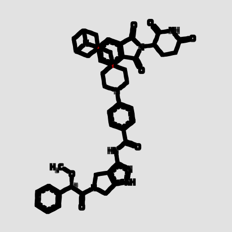 CO[C@@H](C(=O)N1Cc2[nH]nc(NC(=O)c3ccc(N4CCC(CN5CC6CC(C5)N6c5ccc6c(c5)C(=O)N(C5CCC(=O)NC5=O)C6=O)CC4)cc3)c2C1)c1ccccc1